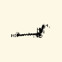 COCCNC(=O)CCC(NC(=O)CCCCCCCCCCCCCCCCC(=O)O)C(=O)O